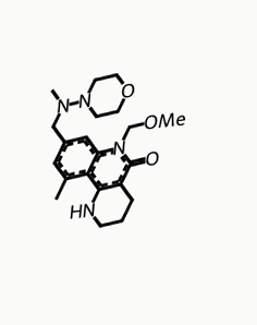 COCn1c(=O)c2c(c3c(C)cc(CN(C)N4CCOCC4)cc31)NCCC2